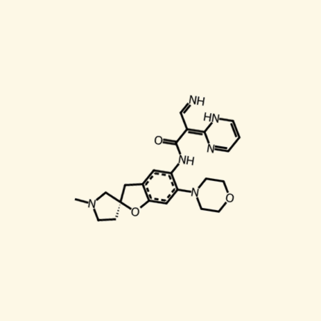 CN1CC[C@@]2(Cc3cc(NC(=O)/C(C=N)=C4\N=CC=CN4)c(N4CCOCC4)cc3O2)C1